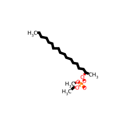 CCCCCCCCCCCCCCCCC(C)OOP(=O)(OC)OCC